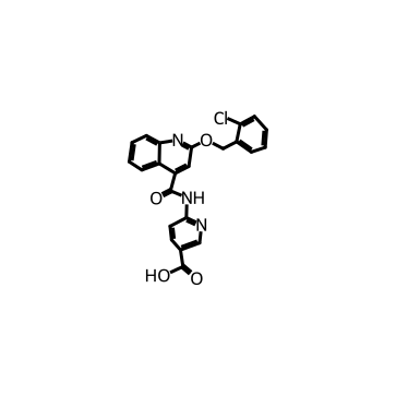 O=C(O)c1ccc(NC(=O)c2cc(OCc3ccccc3Cl)nc3ccccc23)nc1